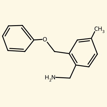 Cc1ccc(CN)c(COc2ccccc2)c1